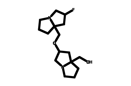 OCC12CCCN1CC(OCC13CCCN1CC(F)C3)C2